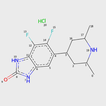 CC1CC(c2cc3[nH]c(=O)[nH]c3c(F)c2F)CC(C)N1.Cl